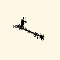 O=C(O)C[C@@H](NC(=O)c1ccc(C2(C(F)(F)F)NN2)cc1)C(=O)NCCCOCCOCCOCCCNC(=O)CCCC[C@@H]1SC[C@@H]2NC(=O)N[C@@H]21